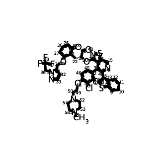 Cc1c(-c2c(-c3csc4ccccc34)ncc3snc(O[C@H](Cc4ccccc4OCc4ccnn4CC(F)(F)F)C(=O)O)c23)ccc(OCCN2CCN(C)CC2)c1Cl